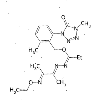 C=CO/N=C(C)/C(C)=N/N=C(/CC)OCc1c(C)cccc1-n1nnn(C)c1=O